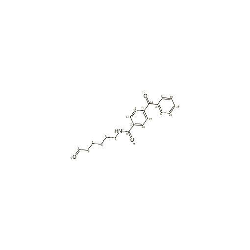 O=[C]CCCCCNC(=O)c1ccc(C(=O)c2ccccc2)cc1